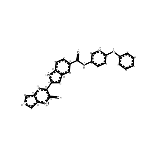 O=C(Nc1ccc(Oc2ccccc2)nc1)c1ccc2[nH]c(-c3nc4cscc4[nH]c3=O)cc2c1